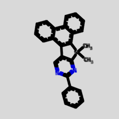 C[Si]1(C)c2nc(-c3ccccc3)ncc2-c2c1c1ccccc1c1ccccc21